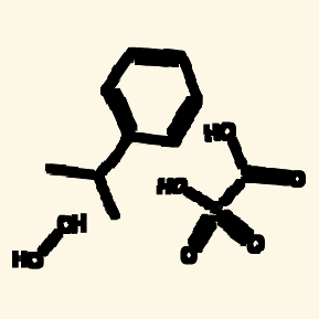 CC(C)c1ccccc1.O=S(O)S(=O)(=O)O.OO